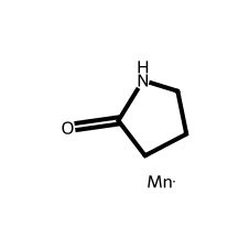 O=C1CCCN1.[Mn]